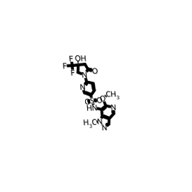 COc1ncc2cnn(C)c2c1NS(=O)(=O)c1ccc(N2C[C@@](O)(C(F)(F)F)CC2=O)nc1